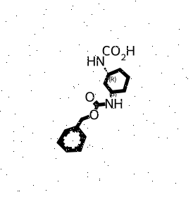 O=C(O)N[C@@H]1CCC[C@H](NC(=O)OCc2ccccc2)C1